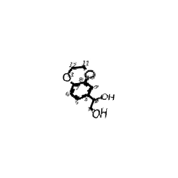 OC[C@H](O)c1ccc2c(c1)OCCO2